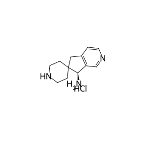 Cl.N[C@@H]1c2cnccc2CC12CCNCC2